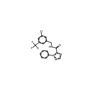 O=C(NCc1cc(Cl)cc(C(F)(F)F)c1)c1ncnn1-c1ccccc1